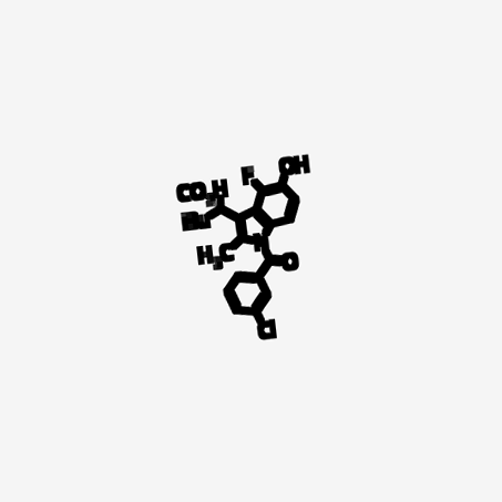 CCC(C)C(C(=O)O)c1c(C)n(C(=O)c2cccc(Cl)c2)c2ccc(O)c(F)c12